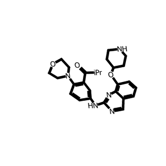 CC(C)C(=O)c1cc(Nc2ncc3cccc(OC4CCNCC4)c3n2)ccc1N1CCOCC1